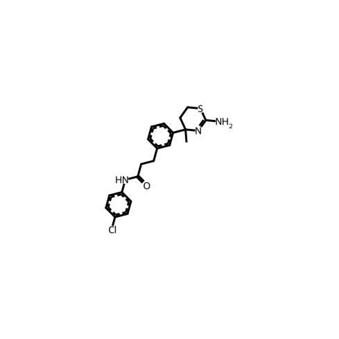 CC1(c2cccc(CCC(=O)Nc3ccc(Cl)cc3)c2)CCSC(N)=N1